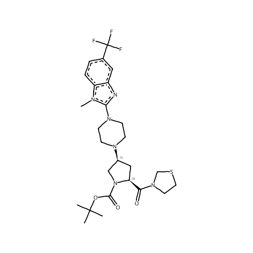 Cn1c(N2CCN([C@H]3C[C@@H](C(=O)N4CCSC4)N(C(=O)OC(C)(C)C)C3)CC2)nc2cc(C(F)(F)F)ccc21